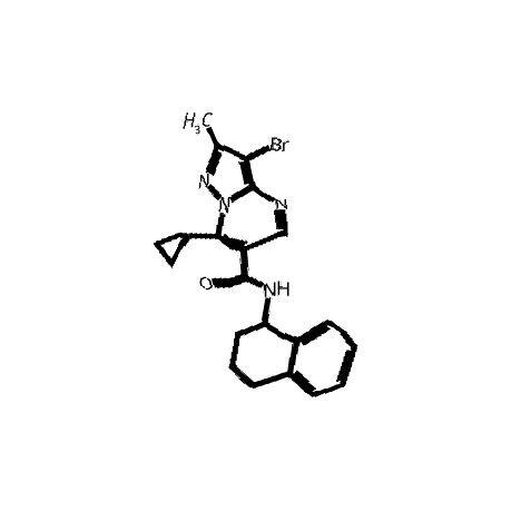 Cc1nn2c(C3CC3)c(C(=O)NC3CCCc4ccccc43)cnc2c1Br